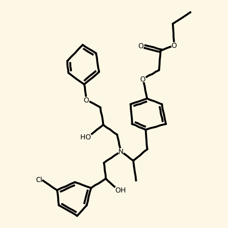 CCOC(=O)COc1ccc(CC(C)N(CC(O)COc2ccccc2)CC(O)c2cccc(Cl)c2)cc1